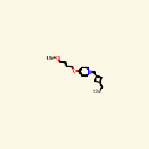 CC(C)(C)CC1CC(CN2CCC(OCCCCOC(C)(C)C)CC2)C1